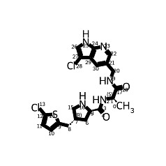 C[C@H](NC(=O)[C@H]1C[C@H](Cc2ccc(Cl)s2)CN1)C(=O)NCc1cnc2[nH]cc(Cl)c2c1